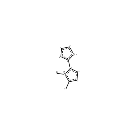 Cc1ccc(-c2cccs2)n1C